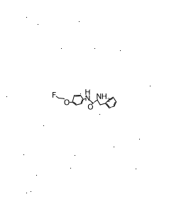 NC(Cc1ccccc1)C(=O)Nc1ccc(OCCF)cc1